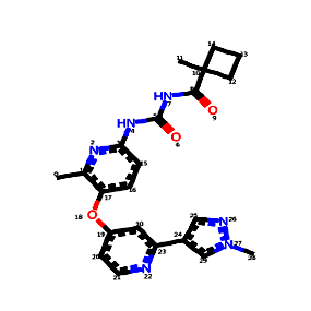 Cc1nc(NC(=O)NC(=O)C2(C)CCC2)ccc1Oc1ccnc(-c2cnn(C)c2)c1